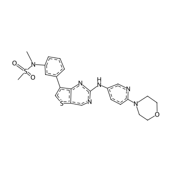 CN(c1cccc(-c2csc3cnc(Nc4ccc(N5CCOCC5)nc4)nc23)c1)S(C)(=O)=O